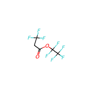 O=C(CC(F)(F)F)OC(F)(F)C(F)(F)F